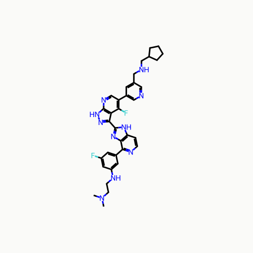 CN(C)CCNc1cc(F)cc(-c2nccc3[nH]c(-c4n[nH]c5ncc(-c6cncc(CNCC7CCCC7)c6)c(F)c45)nc23)c1